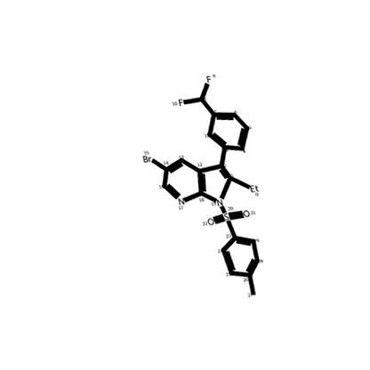 CCc1c(-c2cccc(C(F)F)c2)c2cc(Br)cnc2n1S(=O)(=O)c1ccc(C)cc1